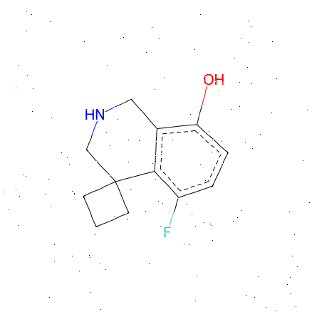 Oc1ccc(F)c2c1CNCC21CCC1